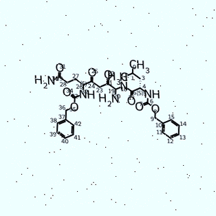 CC(C)C[C@H](NC(=O)OCc1ccccc1)C(=O)NC(N)C(=O)CC(=O)[C@H](CCC(N)=O)NC(=O)OCc1ccccc1